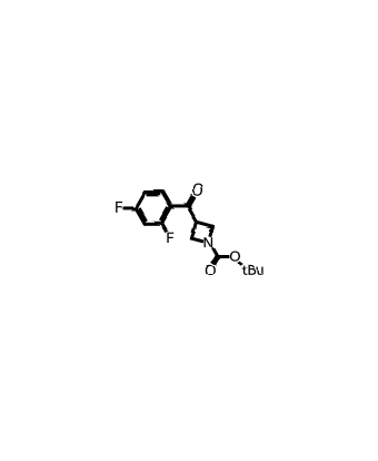 CC(C)(C)OC(=O)N1CC(C(=O)c2ccc(F)cc2F)C1